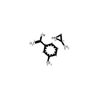 C=C(C#N)c1cccc(C(F)(F)F)c1.CC1CN1